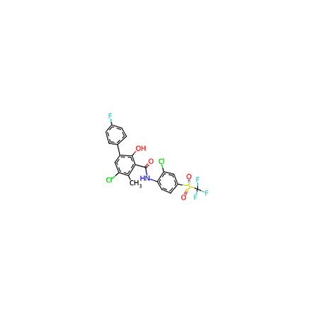 Cc1c(Cl)cc(-c2ccc(F)cc2)c(O)c1C(=O)Nc1ccc(S(=O)(=O)C(F)(F)F)cc1Cl